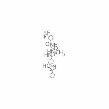 C[C@H](CC(=N)C1CCC(O)(c2ncc(-c3ccccc3)s2)CC1)NC(=O)CNC(=O)c1cccc(C(F)(F)F)c1